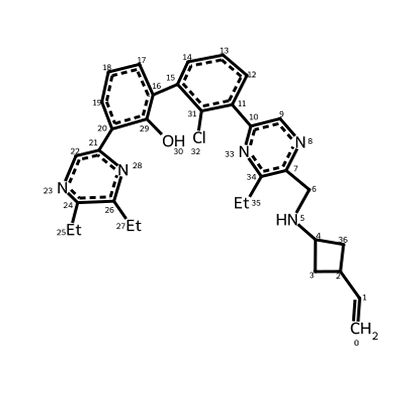 C=CC1CC(NCc2ncc(-c3cccc(-c4cccc(-c5cnc(CC)c(CC)n5)c4O)c3Cl)nc2CC)C1